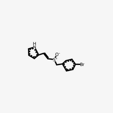 [O-][S+](/C=C/c1ccc[nH]1)Cc1ccc(Br)cc1